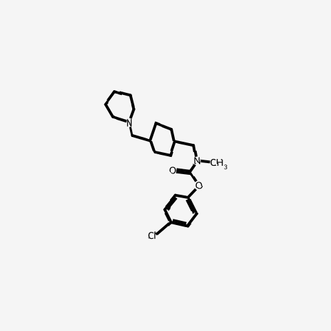 CN(CC1CCC(CN2CCCCC2)CC1)C(=O)Oc1ccc(Cl)cc1